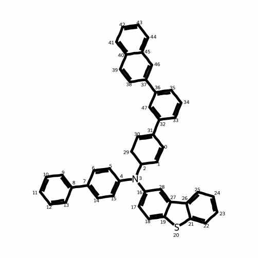 C1=CC(N(c2ccc(-c3ccccc3)cc2)c2ccc3sc4ccccc4c3c2)CC=C1c1cccc(-c2ccc3ccccc3c2)c1